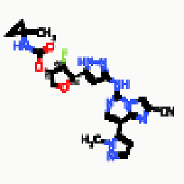 Cn1nccc1-c1cnc(Nc2cc([C@@H]3OC[C@H](OC(=O)NC4(C)CC4)[C@H]3F)[nH]n2)n2cc(C#N)nc12